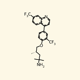 C[C@H](COc1ccc(-c2ccnc3cc(C(F)(F)F)ccc23)cc1C(F)(F)F)CC(C)(C)N